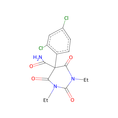 CCN1C(=O)N(CC)C(=O)C(C(N)=O)(c2ccc(Cl)cc2Cl)C1=O